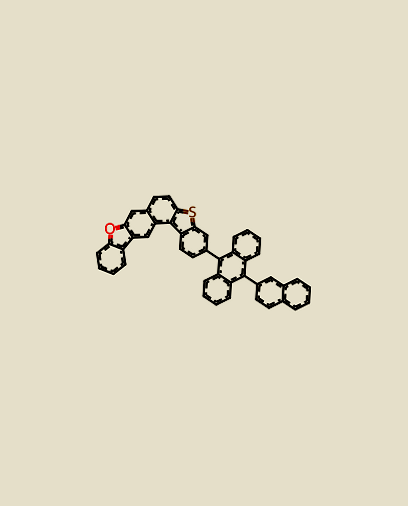 c1ccc2cc(-c3c4ccccc4c(-c4ccc5c(c4)sc4ccc6cc7oc8ccccc8c7cc6c45)c4ccccc34)ccc2c1